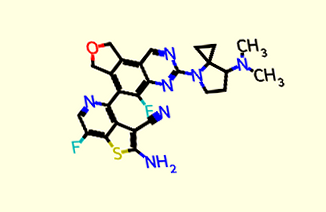 CN(C)C1CCN(c2ncc3c4c(c(-c5ncc(F)c6sc(N)c(C#N)c56)c(F)c3n2)COC4)C12CC2